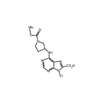 CCn1c(C(=O)O)nc2c(NC3CCN(C(=O)OC(C)(C)C)C3)ncnc21